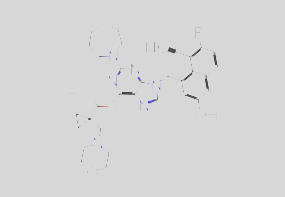 C#Cc1c(F)ccc2cc(O)cc(Cn3cnc4c(OC(C)C5(CN6CCOCC6)CC5)nc(N5CCCOCC5)nc43)c12